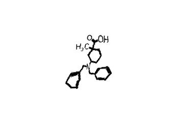 CC1(C(=O)O)CCCC(N(Cc2ccccc2)Cc2ccccc2)C1